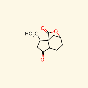 O=C(O)C1CC(=O)C2CCC3CC12C(=O)O3